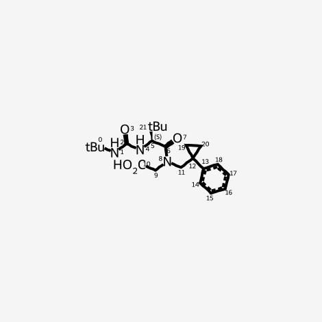 CC(C)(C)NC(=O)N[C@H](C(=O)N(CC(=O)O)CC1(c2ccccc2)CC1)C(C)(C)C